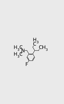 CCC(CC)c1ccc(F)cc1CN(C)C